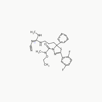 CCON(C)C(=O)N1N=C(c2cc(F)ccc2F)SC1(CCCN/C(=N\C#N)NC)c1ccccc1